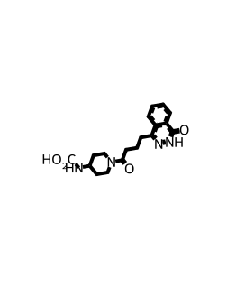 O=C(O)NC1CCN(C(=O)CCCc2n[nH]c(=O)c3ccccc23)CC1